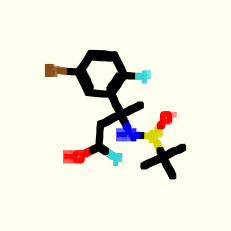 CC(CC(O)F)(N[S+]([O-])C(C)(C)C)c1cc(Br)ccc1F